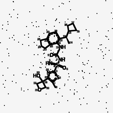 Cc1sc(S(=N)(=O)NC(=O)Nc2c([C@H](C)C3CCC3)ccc3c2CCC3)nc1C1(O)COC1